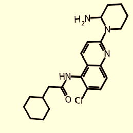 NC1CCCCN1c1ccc2c(NC(=O)CC3CCCCC3)c(Cl)ccc2n1